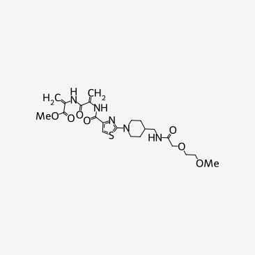 C=C(NC(=O)c1csc(N2CCC(CNC(=O)COCCOC)CC2)n1)C(=O)NC(=C)C(=O)OC